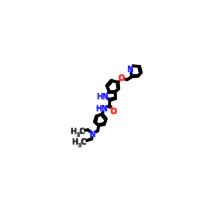 CCN(CC)Cc1ccc(NC(=O)c2cc3cc(OCc4ccccn4)ccc3[nH]2)cc1